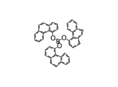 c1ccc2c(c1)ccc1cccc(OB(Oc3cccc4ccc5ccccc5c34)Oc3cccc4ccc5ccccc5c34)c12